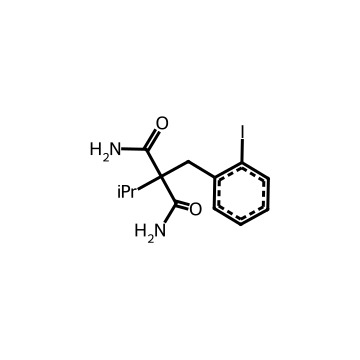 CC(C)C(Cc1ccccc1I)(C(N)=O)C(N)=O